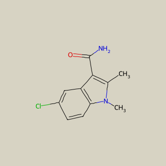 Cc1c(C(N)=O)c2cc(Cl)ccc2n1C